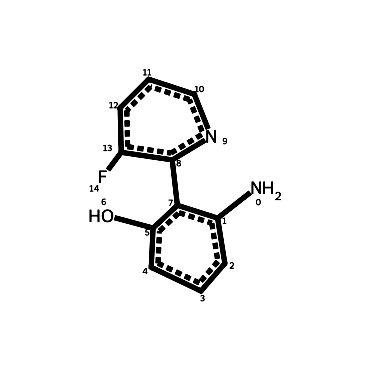 Nc1cccc(O)c1-c1ncccc1F